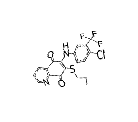 CCCSC1=C(Nc2ccc(Cl)c(C(F)(F)F)c2)C(=O)c2cccnc2C1=O